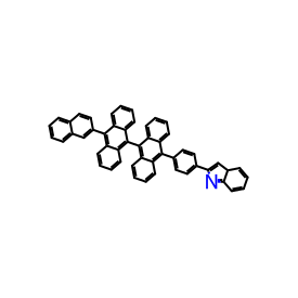 C1=CC2=NC(c3ccc(-c4c5ccccc5c(-c5c6ccccc6c(-c6ccc7ccccc7c6)c6ccccc56)c5ccccc45)cc3)=CC2C=C1